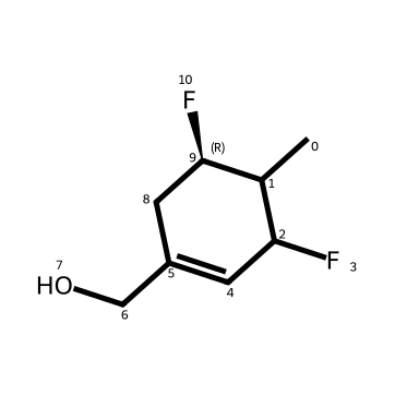 CC1C(F)C=C(CO)C[C@H]1F